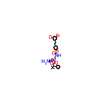 COc1cc(C=Cc2ccc(OC(=O)NCCNC(=O)C(OC(N)=O)C(c3ccccc3)C(C)(C)C)cc2)cc(OC)c1